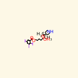 CC(C)(OC(O)CCCCOC(=O)c1cc(I)cc(I)c1I)C1CCNCC1